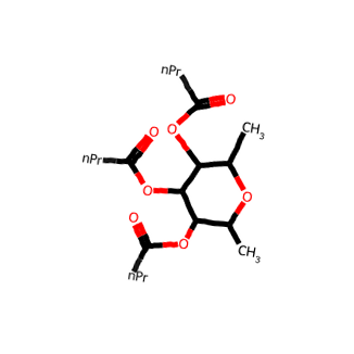 CCCC(=O)OC1C(C)OC(C)C(OC(=O)CCC)C1OC(=O)CCC